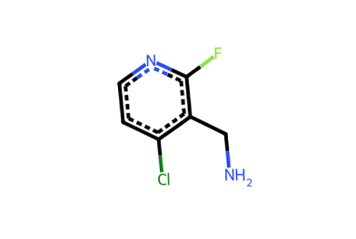 NCc1c(Cl)ccnc1F